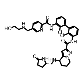 O=C1CC[C@@H](CN[C@@H]2CCCn3nc(C(=O)Nc4cccc(-c5cccc(NC(=O)c6ccc(CNCCO)cn6)c5Cl)c4Cl)cc32)N1